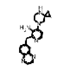 Nc1c(N2CCNC3(CC3)C2)ccnc1Cc1ccc2nccnc2c1